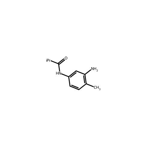 Cc1ccc(NC(=O)C(C)C)cc1N